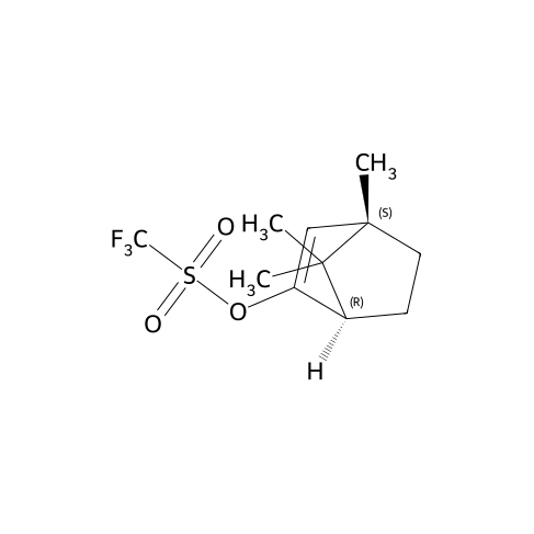 CC1(C)[C@H]2CC[C@@]1(C)C=C2OS(=O)(=O)C(F)(F)F